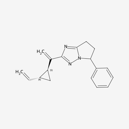 C=C[C@H]1C[C@@H]1C(=C)c1nc2n(n1)C(c1ccccc1)CC2